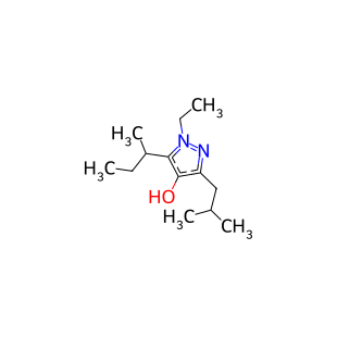 CCC(C)c1c(O)c(CC(C)C)nn1CC